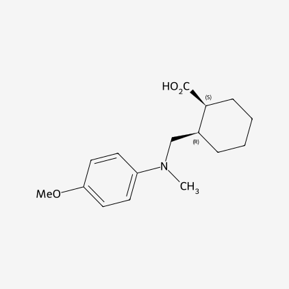 COc1ccc(N(C)C[C@@H]2CCCC[C@@H]2C(=O)O)cc1